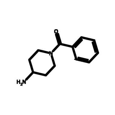 NC1CCN(C(=O)c2[c]cccc2)CC1